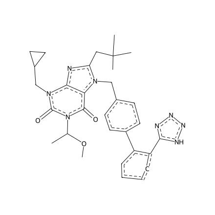 COC(C)n1c(=O)c2c(nc(CC(C)(C)C)n2Cc2ccc(-c3ccccc3-c3nnn[nH]3)cc2)n(CC2CC2)c1=O